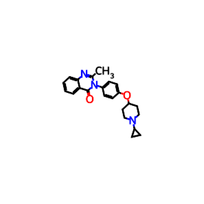 Cc1nc2ccccc2c(=O)n1-c1ccc(OC2CCN(C3CC3)CC2)cc1